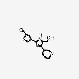 OCc1[nH]c(-c2csc(Cl)c2)nc1-c1cccnc1